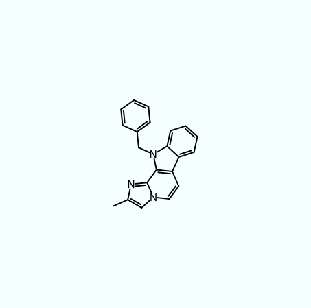 Cc1cn2ccc3c4ccccc4n(Cc4ccccc4)c3c2n1